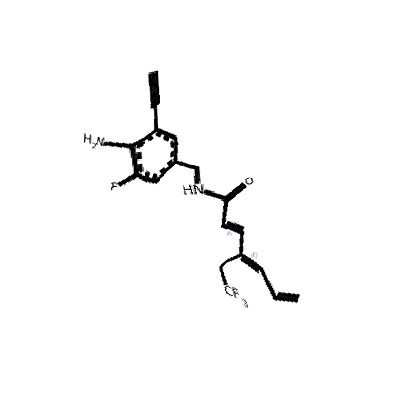 C#Cc1cc(CNC(=O)/C=C/C(=C/C=C)CC(F)(F)F)cc(F)c1N